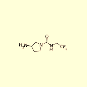 N[C@@H]1CCN(C(=O)NCC(F)(F)F)C1